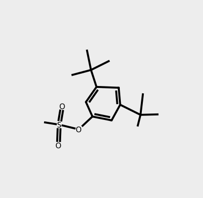 CC(C)(C)c1cc(OS(C)(=O)=O)cc(C(C)(C)C)c1